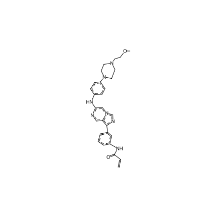 C=CC(=O)Nc1cccc(-c2ncn3cc(Nc4ccc(N5CCN(CCOC)CC5)cc4)ncc23)c1